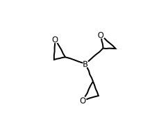 C1OC1B(C1CO1)C1CO1